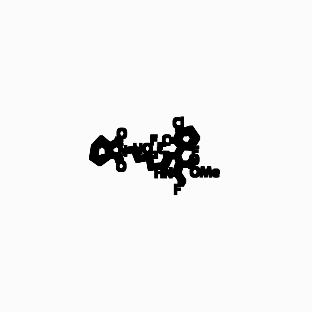 COC(=O)C1=C(CF)NC(CCCCN2C(=O)c3ccccc3C2=O)=C(C(=O)O)C1c1c(F)ccc(Cl)c1C(F)(F)F